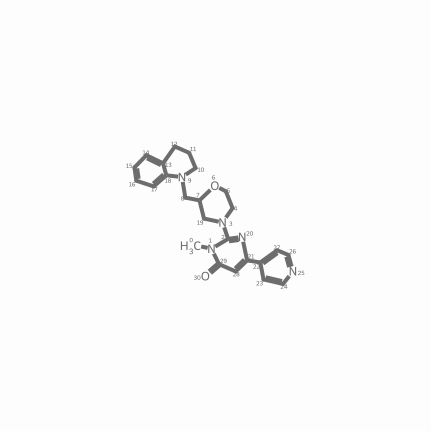 Cn1c(N2CCOC(CN3CCCc4ccccc43)C2)nc(-c2ccncc2)cc1=O